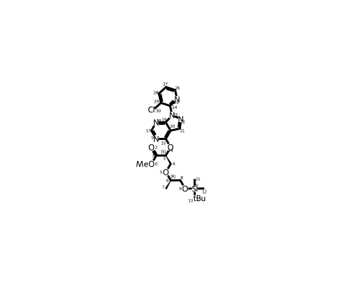 COC(=O)[C@H](CO[C@H](C)CO[Si](C)(C)C(C)(C)C)Oc1ncnc2c1cnn2-c1ncccc1Cl